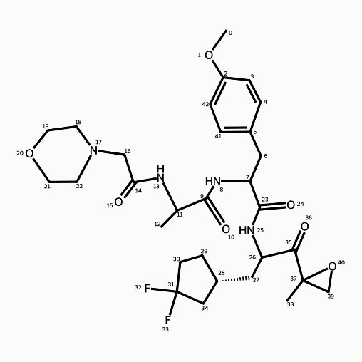 COc1ccc(CC(NC(=O)C(C)NC(=O)CN2CCOCC2)C(=O)NC(C[C@H]2CCC(F)(F)C2)C(=O)C2(C)CO2)cc1